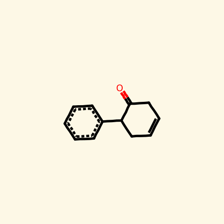 O=C1CC=CCC1c1ccccc1